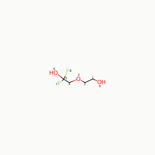 OCCOCC(O)(F)F